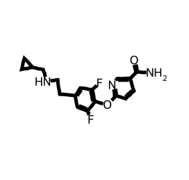 NC(=O)c1ccc(Oc2c(F)cc(CCNCC3CC3)cc2F)nc1